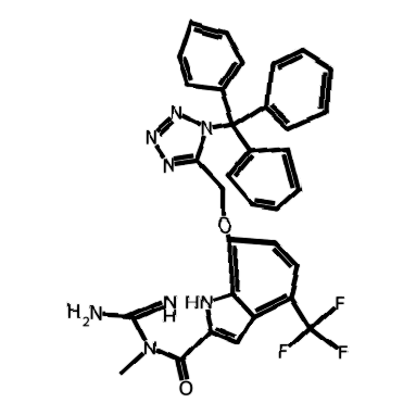 CN(C(=N)N)C(=O)c1cc2c(C(F)(F)F)ccc(OCc3nnnn3C(c3ccccc3)(c3ccccc3)c3ccccc3)c2[nH]1